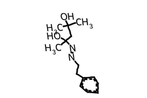 CC(C)(O)CC(C)(O)/N=N/CCc1ccccc1